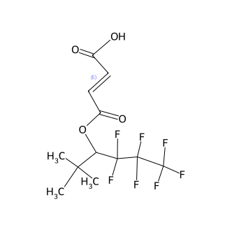 CC(C)(C)C(OC(=O)/C=C/C(=O)O)C(F)(F)C(F)(F)C(F)(F)F